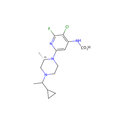 CC(C1CC1)N1CCN(c2cc(NC(=O)O)c(Cl)c(F)n2)[C@@H](C)C1